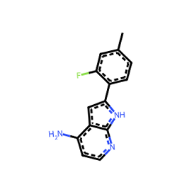 Cc1ccc(-c2cc3c(N)ccnc3[nH]2)c(F)c1